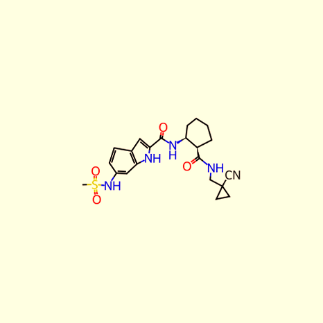 CS(=O)(=O)Nc1ccc2cc(C(=O)N[C@H]3CCCC[C@H]3C(=O)NCC3(C#N)CC3)[nH]c2c1